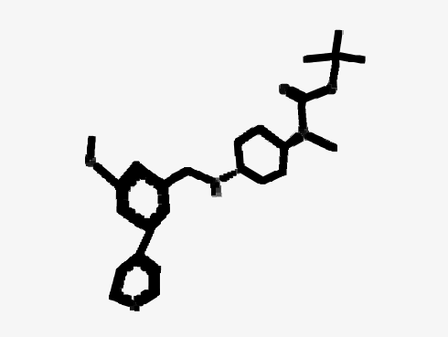 COc1cc(CN[C@H]2CC[C@H](N(C)C(=O)OC(C)(C)C)CC2)cc(-c2ccncc2)c1